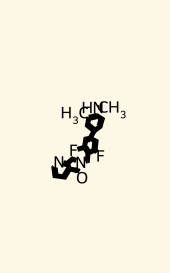 CNc1ccc(-c2cc(F)c(CN3Cc4ncccc4C3=O)c(F)c2)cc1C